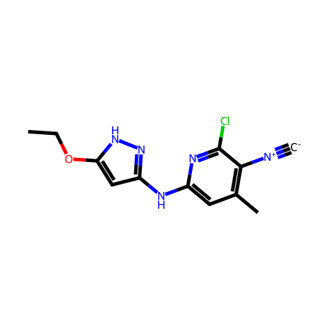 [C-]#[N+]c1c(C)cc(Nc2cc(OCC)[nH]n2)nc1Cl